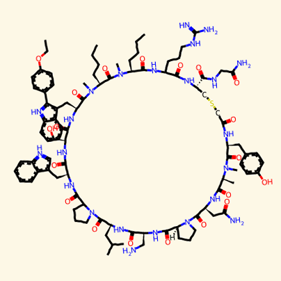 CCCC[C@H]1C(=O)N(C)[C@@H](CCCC)C(=O)NC(CCCNC(=N)N)C(=O)N[C@H](C(=O)NCC(N)=O)CSCC(=O)N[C@@H](Cc2ccc(O)cc2)C(=O)N(C)[C@@H](C)C(=O)N[C@@H](CC(N)=O)C(=O)N2CCC[C@H]2C(=O)N[C@@H](CN)C(=O)N[C@@H](CC(C)C)C(=O)N2CCCC2C(=O)N[C@@H](Cc2c[nH]c3ccccc23)C(=O)N[C@@H](CO)C(=O)N[C@@H](Cc2c(-c3ccc(OCC)cc3)[nH]c3ccccc23)C(=O)N1C